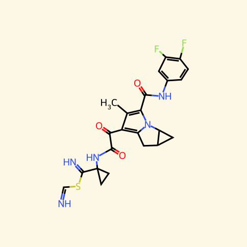 Cc1c(C(=O)C(=O)NC2(C(=N)SC=N)CC2)c2n(c1C(=O)Nc1ccc(F)c(F)c1)C1CC1C2